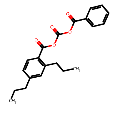 CCCc1ccc(C(=O)OC(=O)OC(=O)c2ccccc2)c(CCC)c1